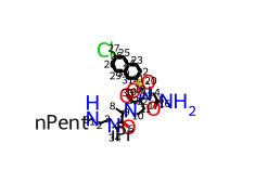 CCCCCNCCN(C(=O)C(C)N1CCC(N(CC(N)=O)S(=O)(=O)c2ccc3cc(Cl)ccc3c2)C1=O)C(C)C